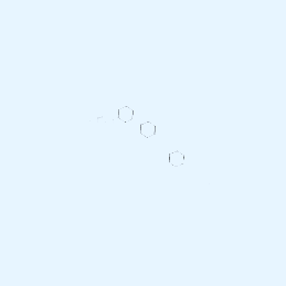 CCc1ccc(CCc2ccc(-c3ccc4c(c3F)OC(=O)C(C)C4)cc2F)cc1